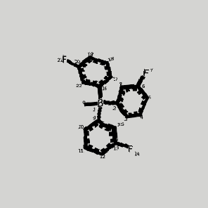 C[B-](c1cccc(F)c1)(c1cccc(F)c1)c1cccc(F)c1